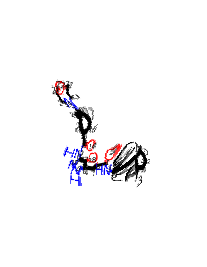 CC(C)(NC(=O)c1cc2[nH]nc(NC(=O)c3ccc(N4CCOCC4)cc3)c2o1)c1ccccc1